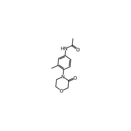 CC(=O)Nc1ccc(N2CCOCC2=O)c(C)c1